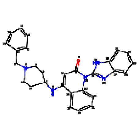 O=c1cc(NC2CCN(Cc3ccccc3)CC2)c2ccccc2n1-c1nc2ccccc2[nH]1